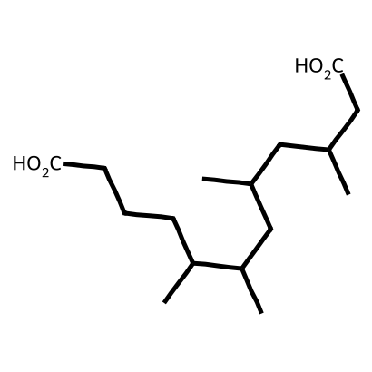 CC(CC(=O)O)CC(C)CC(C)C(C)CCCC(=O)O